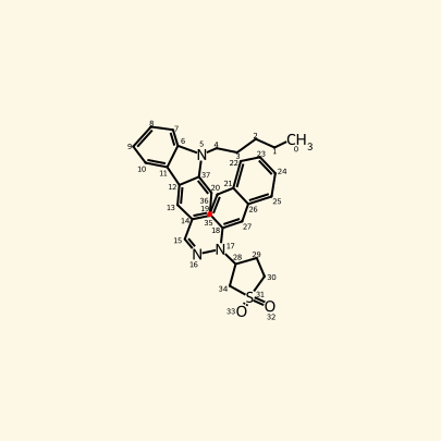 CCCCCn1c2ccccc2c2cc(/C=N\N(c3ccc4ccccc4c3)C3CCS(=O)(=O)C3)ccc21